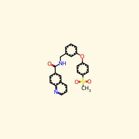 CS(=O)(=O)c1ccc(Oc2cccc(CNC(=O)c3ccc4ncccc4c3)c2)cc1